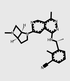 Cc1c(C#N)cccc1[C@@H](C)Nc1nnc(C)c2cnc(N3CC[C@@H]4[C@H]3CN4C)cc12